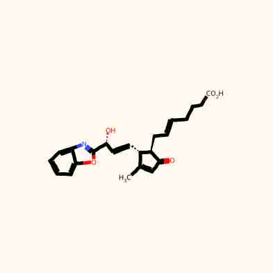 CC1=CC(=O)[C@H](CC=CCCCC(=O)O)[C@H]1C=C[C@@H](O)c1nc2ccccc2o1